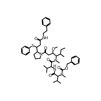 CCC(C)C(C(CC(=O)N1CCCC1C(CC(=O)NCCc1ccccc1)Sc1ccccc1)OC)N(C)C(=O)C(NC(=O)C(C(C)C)N(C)C(=O)OCc1ccccc1)C(C)C